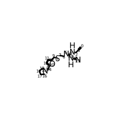 C#CCN/C(=N/CCSCc1ccc(CN2CCCC2)o1)NC#N